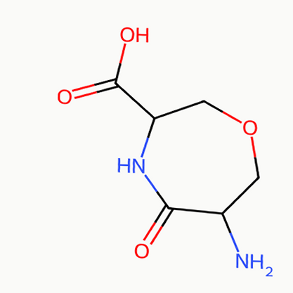 NC1COCC(C(=O)O)NC1=O